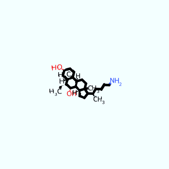 CC[C@H]1[C@@H](O)C2[C@@H]3CCC([C@H](C)CCCCN)C3(C)CC[C@@H]2[C@]2(C)CC[C@@H](O)C[C@@H]12